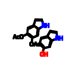 CC(=O)Oc1cc2cc[nH]c2cc1OC(C)=O.Oc1ccc2cc[nH]c2c1